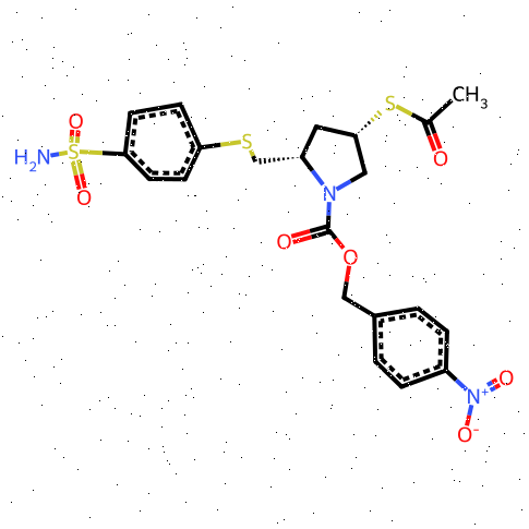 CC(=O)S[C@H]1C[C@@H](CSc2ccc(S(N)(=O)=O)cc2)N(C(=O)OCc2ccc([N+](=O)[O-])cc2)C1